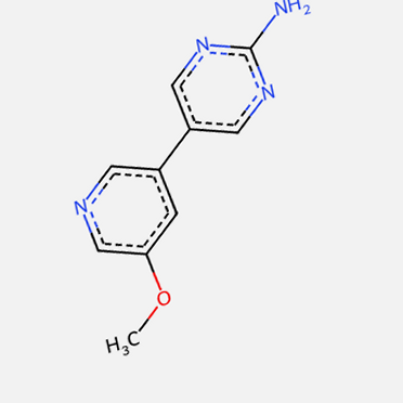 COc1cncc(-c2cnc(N)nc2)c1